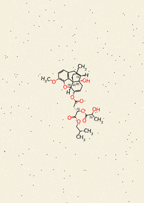 COc1ccc2c3c1O[C@H]1C(OC(=O)C[C@H](OC(=O)[C@H](C)O)C(=O)OCC(C)C)=CC[C@@]4(O)[C@@H](C2)C(C)CC[C@]314